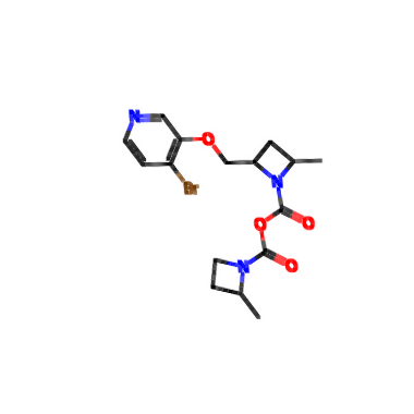 CC1CCN1C(=O)OC(=O)N1C(C)CC1COc1cnccc1Br